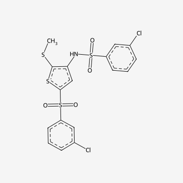 CSc1sc(S(=O)(=O)c2cccc(Cl)c2)cc1NS(=O)(=O)c1cccc(Cl)c1